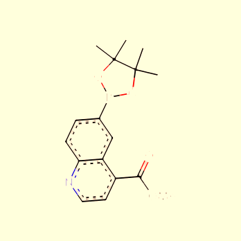 COC(=O)c1ccnc2ccc(B3OC(C)(C)C(C)(C)O3)cc12